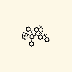 CC1(C)CCC(C)(C)c2c(N(c3ccc4c(c3)C(C)(C)c3ccccc3-4)c3cc(-c4ccccc4)cc4c3Oc3ccccc3C43C4CC5CC6CC3C64C5)cccc21